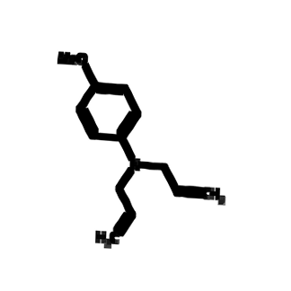 C=CCN(CC=C)c1ccc(OC)cc1